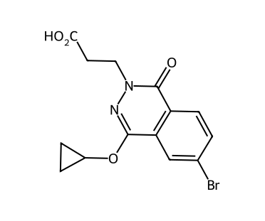 O=C(O)CCn1nc(OC2CC2)c2cc(Br)ccc2c1=O